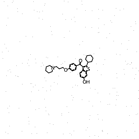 O=C(c1ccc(OCCCN2CCCCC2)cc1)c1c(C2CCCCC2)sc2cc(O)ccc12